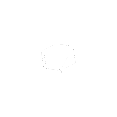 C1=CN2CCC1C2